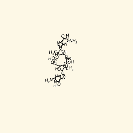 CC1[C@H]2OP(=O)(O)OC[C@H]3O[C@@H](n4cnc5c(=O)[nH]c(N)nc54)C(C)[C@H]3OP(=O)(O)OC[C@H]2O[C@H]1n1cnc2c(=O)[nH]c(N)nc21